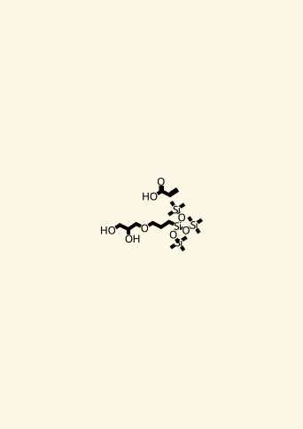 C=CC(=O)O.C[Si](C)(C)O[Si](CCCOCC(O)CO)(O[Si](C)(C)C)O[Si](C)(C)C